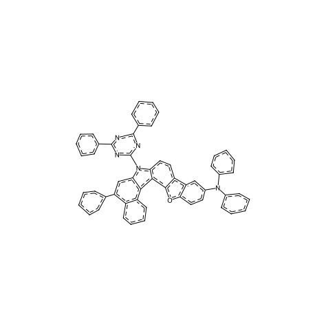 c1ccc(-c2nc(-c3ccccc3)nc(-n3c4cc(-c5ccccc5)c5ccccc5c4c4c5oc6ccc(N(c7ccccc7)c7ccccc7)cc6c5ccc43)n2)cc1